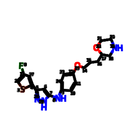 Fc1csc(-c2cc(Nc3ccc(OCCCC4CNCCO4)cc3)[nH]n2)c1